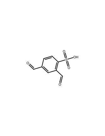 O=Cc1ccc(S(=O)(=O)O)c(C=O)c1